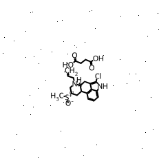 C=CCN1C[C@H]([S+](C)[O-])CC2c3cccc4[nH]c(Cl)c(c34)C[C@H]21.O=C(O)CCC(=O)O